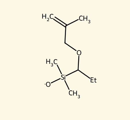 C=C(C)COC(CC)[Si](C)(C)[O]